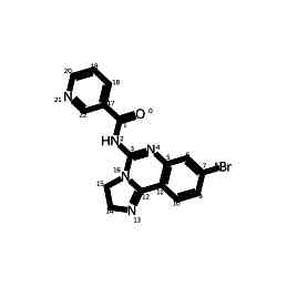 O=C(NC1=Nc2cc(Br)ccc2C2=NCCN12)c1cccnc1